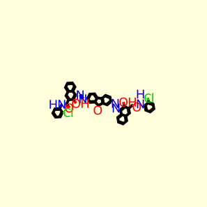 O=C1c2cc(N=Nc3c(O)c(CONc4ccccc4Cl)cc4ccccc34)ccc2-c2ccc(N=Nc3c(O)c(C(=O)Nc4ccccc4Cl)cc4ccccc34)cc21